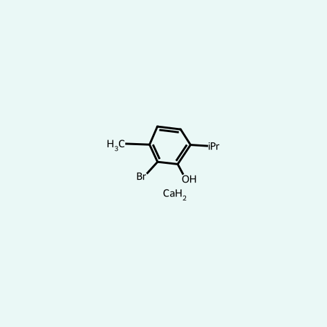 Cc1ccc(C(C)C)c(O)c1Br.[CaH2]